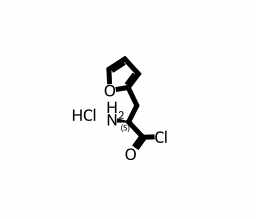 Cl.N[C@@H](Cc1ccco1)C(=O)Cl